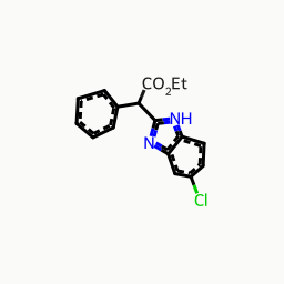 CCOC(=O)C(c1ccccc1)c1nc2cc(Cl)ccc2[nH]1